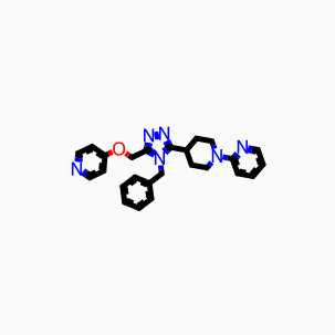 c1ccc(Cn2c(COc3ccncc3)nnc2C2CCN(c3ccccn3)CC2)cc1